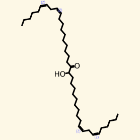 CCCCC/C=C\C/C=C\CCCCCCCCCC(=O)C(O)CCCCCCCCC/C=C\C/C=C\CCCCC